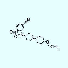 CCOC1CCC(N2CCC(Nc3cc(C#N)ccc3[N+](=O)[O-])CC2)CC1